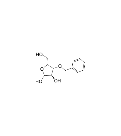 OC[C@H]1OC(O)[C@H](O)[C@H]1OCc1ccccc1